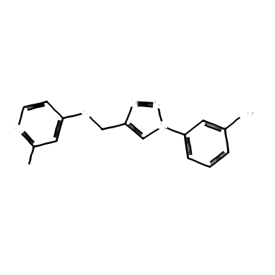 CSc1cccc(-n2cc(CNc3ccnc(C(F)(F)F)c3)nn2)c1